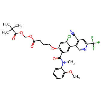 COc1ccccc1N(C)C(=O)c1cc(-c2cnc(C(F)(F)F)cc2C#N)c(Cl)cc1OCCCC(=O)OCOC(=O)C(C)(C)C